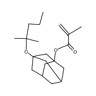 C=C(C)C(=O)OC12CC3CC(C1)CC(OC(C)(C)CCC)(C3)C2